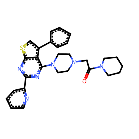 O=C(CN1CCN(c2nc(-c3ccccn3)nc3scc(-c4ccccc4)c23)CC1)N1CCCCC1